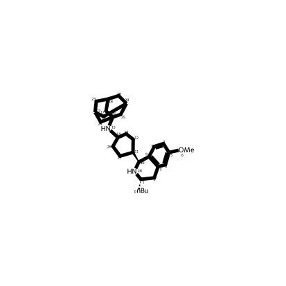 CCCC[C@H]1Cc2cc(OC)ccc2[C@H](C2CCC(NC34CC5CC(CC(C5)C3)C4)CC2)N1